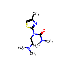 Cc1csc(N(CCN(C)C)C(=O)N(C)C)n1